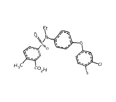 CCN(c1ccc(Oc2ccc(F)c(Cl)c2)cc1)S(=O)(=O)c1ccc(C)c(C(=O)O)c1